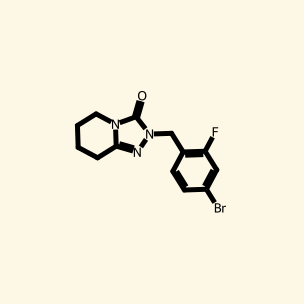 O=c1n(Cc2ccc(Br)cc2F)nc2n1CCCC2